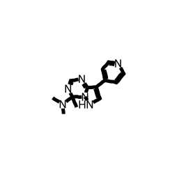 CN(C)C1(C)N=CN=C2C(c3ccncc3)=CNN21